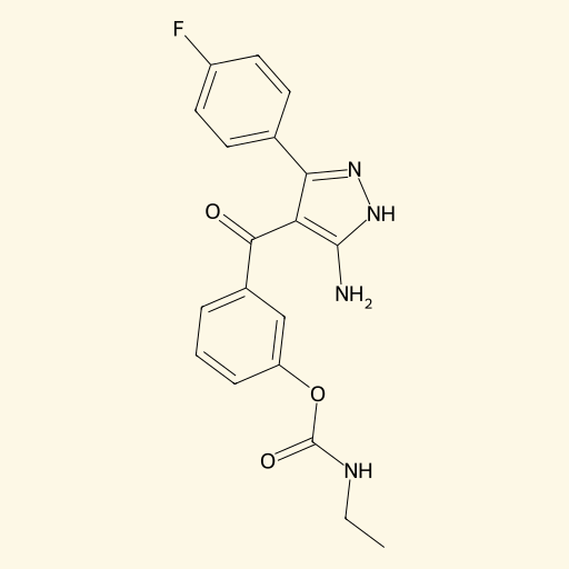 CCNC(=O)Oc1cccc(C(=O)c2c(-c3ccc(F)cc3)n[nH]c2N)c1